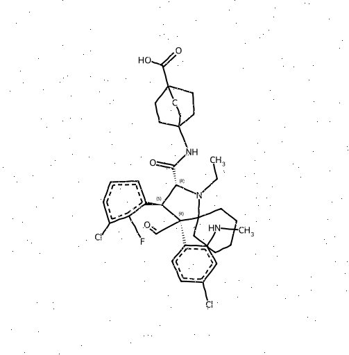 CCN1[C@@H](C(=O)NC23CCC(C(=O)O)(CC2)CC3)[C@H](c2cccc(Cl)c2F)[C@@](C=O)(c2ccc(Cl)cc2NC)C12CCCCC2